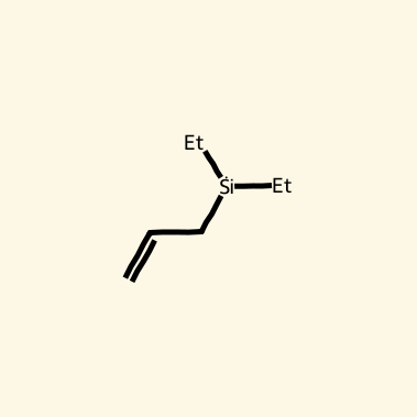 C=CC[Si](CC)CC